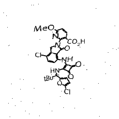 COc1ccc(C(=O)O)c(N2Cc3c(Cl)ccc(Nc4c(N[C@@H](c5ccc(Cl)o5)C(C)(C)C)c(=O)c4=O)c3C2=O)n1